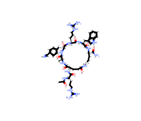 CC(=O)N[C@@H](CCCNC(=N)N)C(=O)N[C@H]1CCC(=O)NCCC[C@@H](C(N)=O)NC(=O)[C@H](Cc2c[nH]c3ccccc23)NC(=O)[C@H](CCCNC(=N)N)NC(=O)[C@@H](Cc2ccc(C#N)cc2)NC(=O)[C@H](C)NC1=O